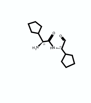 N[C@H](C(=O)N[C@H]([C]=O)C1CCCC1)C1CCCC1